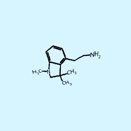 CN1CC(C)(C)c2c(CCN)cccc21